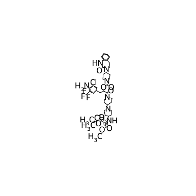 CCOC(=O)[C@@H](NC1CCN(C2CCN(C(=O)C(Cc3cc(Cl)c(N)c(C(F)(F)F)c3)OC(=O)N3CCC(N4CCc5ccccc5NC4=O)CC3)CC2)CC1)C(=O)OC(C)(C)C